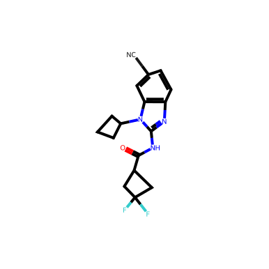 N#Cc1ccc2nc(NC(=O)C3CC(F)(F)C3)n(C3CCC3)c2c1